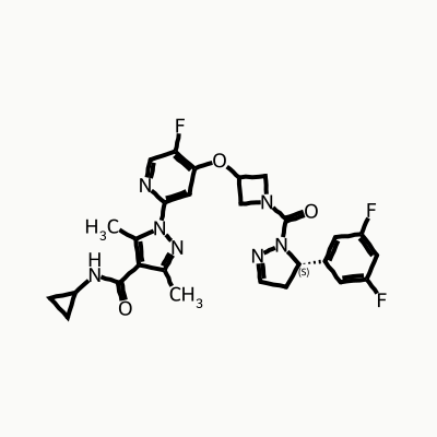 Cc1nn(-c2cc(OC3CN(C(=O)N4N=CC[C@H]4c4cc(F)cc(F)c4)C3)c(F)cn2)c(C)c1C(=O)NC1CC1